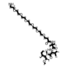 CC[C@H](C)[C@@H]([C@@H](C)OC)N(C)C(=O)[C@@H](NC(=O)C(C)(C)NC(=O)CCOCCOCCOCCOCCOCCOCCN)C(C)C